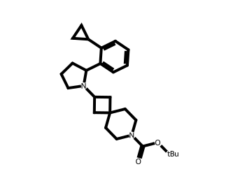 CC(C)(C)OC(=O)N1CCC2(CC1)CC(N1CCCC1c1ccccc1C1CC1)C2